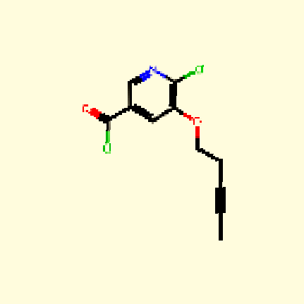 CC#CCCOc1cc(C(=O)Cl)cnc1Cl